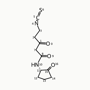 O=C(CCN=C=S)CC(=O)N[C@H]1CCCC1=O